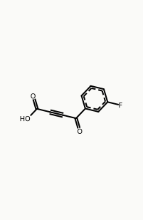 O=C(O)C#CC(=O)c1cccc(F)c1